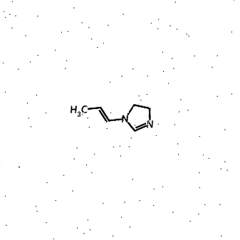 CC=CN1C=NCC1